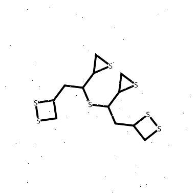 C1SSC1CC(SC(CC1CSS1)C1CS1)C1CS1